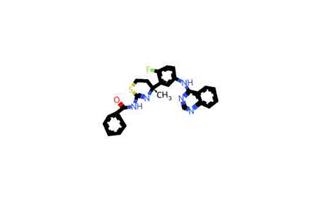 C[C@@]1(c2cc(Nc3ncnc4ccccc34)ccc2F)CCSC(NC(=O)c2ccccc2)=N1